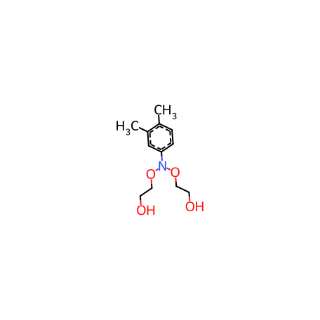 Cc1ccc(N(OCCO)OCCO)cc1C